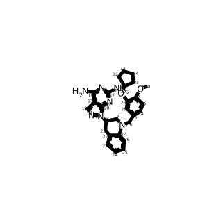 COc1ccc(CN2CC(n3ncc4c(N)nc(N)nc43)Cc3ccccc32)cc1OC1CCCC1